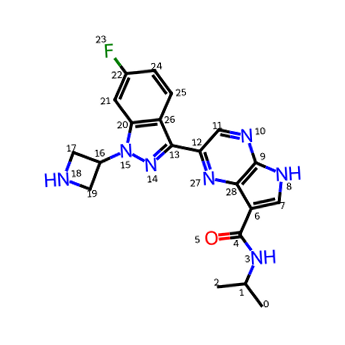 CC(C)NC(=O)c1c[nH]c2ncc(-c3nn(C4CNC4)c4cc(F)ccc34)nc12